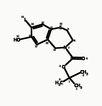 CC(C)(C)OC(=O)N1CCSc2cc(I)c(O)cc2C1